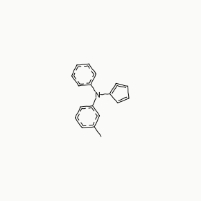 Cc1cccc(N(C2=C=CC=C2)c2ccccc2)c1